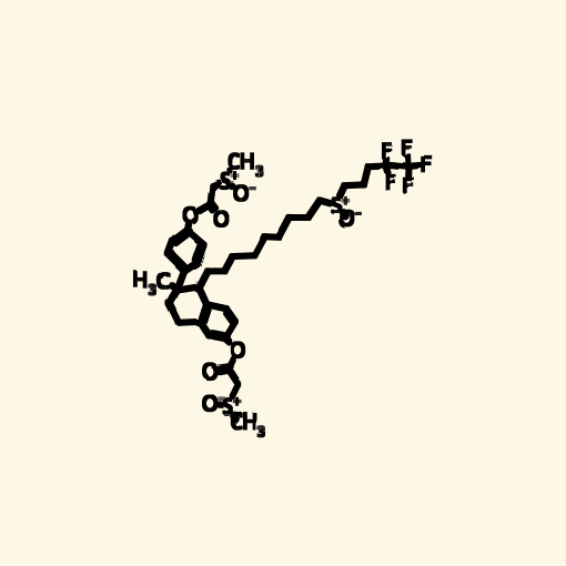 C[S+]([O-])CC(=O)Oc1ccc(C2(C)CCc3cc(OC(=O)C[S+](C)[O-])ccc3C2CCCCCCCCC[S+]([O-])CCCC(F)(F)C(F)(F)F)cc1